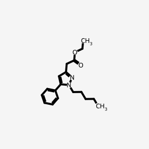 CCCCCn1nc(CC(=O)OCC)cc1-c1ccccc1